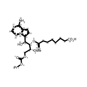 CO[C@H](COC(=O)OC(C)C)[C@@H](OC(=O)CCCCCCC(=O)O)[C@@H](O)c1ccc2c(N)ncnn12